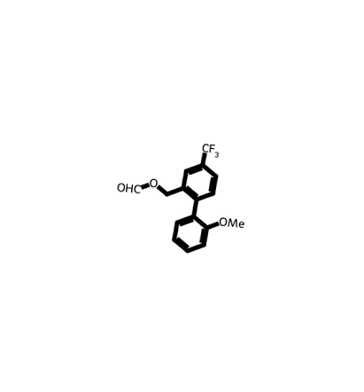 COc1ccccc1-c1ccc(C(F)(F)F)cc1COC=O